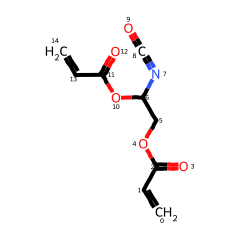 C=CC(=O)OCC(N=C=O)OC(=O)C=C